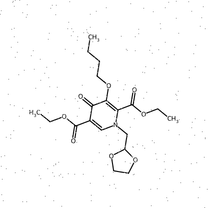 CCCCOc1c(C(=O)OCC)n(CC2OCCO2)cc(C(=O)OCC)c1=O